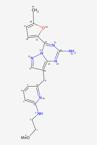 COCCNc1cccc(Cc2cnn3c(-c4ccc(C)o4)nc(N)nc23)n1